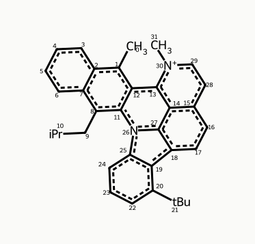 Cc1c2ccccc2c(CC(C)C)c2c1c1c3c(ccc4c5c(C(C)(C)C)cccc5n2c43)cc[n+]1C